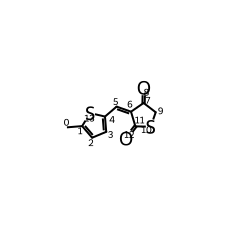 Cc1ccc(C=C2C(=O)CSC2=O)s1